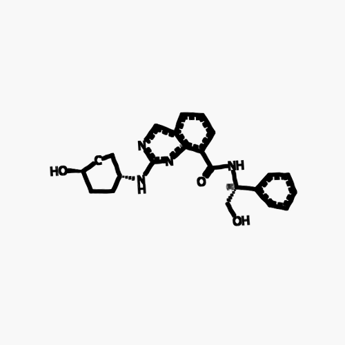 O=C(N[C@@H](CO)c1ccccc1)c1cccc2cnc(N[C@H]3CC[C@H](O)CC3)nc12